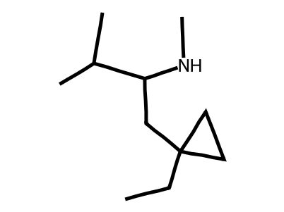 CCC1(CC(NC)C(C)C)CC1